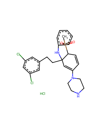 CS(=O)(=O)C1C=CC(N2CCNCC2)=CC1(CCc1cc(Cl)cc(Cl)c1)Nc1ccccc1.Cl